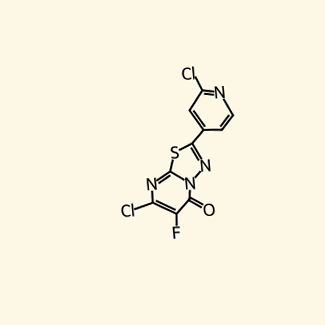 O=c1c(F)c(Cl)nc2sc(-c3ccnc(Cl)c3)nn12